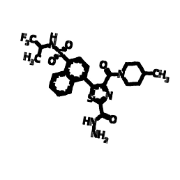 CC1CCN(C(=O)c2nc(C(=O)NN)sc2-c2ccc(S(=O)(=O)NC(C)C(F)(F)F)c3ccccc23)CC1